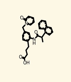 CC(C(=O)Nc1cc(Cn2ccccc2=O)ccc1CCCC(=O)O)c1cccc2ccccc12